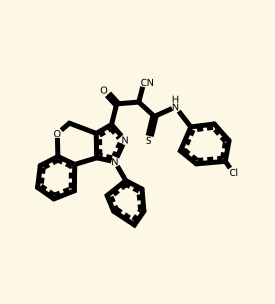 N#CC(C(=O)c1nn(-c2ccccc2)c2c1COc1ccccc1-2)C(=S)Nc1ccc(Cl)cc1